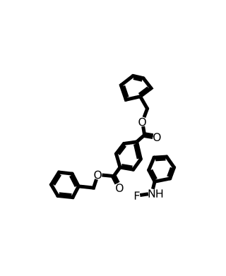 FNc1ccccc1.O=C(OCc1ccccc1)c1ccc(C(=O)OCc2ccccc2)cc1